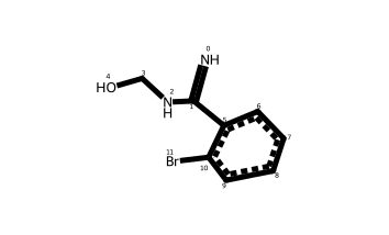 N=C(NCO)c1ccccc1Br